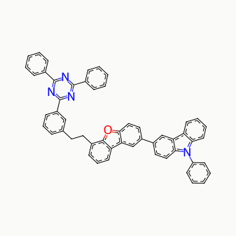 c1ccc(-c2nc(-c3ccccc3)nc(-c3cccc(CCc4cccc5c4oc4ccc(-c6ccc7c(c6)c6ccccc6n7-c6ccccc6)cc45)c3)n2)cc1